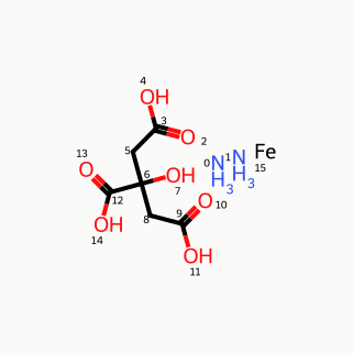 N.N.O=C(O)CC(O)(CC(=O)O)C(=O)O.[Fe]